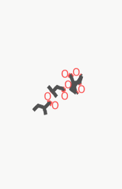 CCC(C)C(=O)OC(C)(C)CC(=O)OC1C2CC3C(=O)OC1C3O2